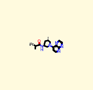 CC(C)C(C)C(=O)N[C@@H]1C[C@H](C)CN(c2ccnc3nccnc23)C1